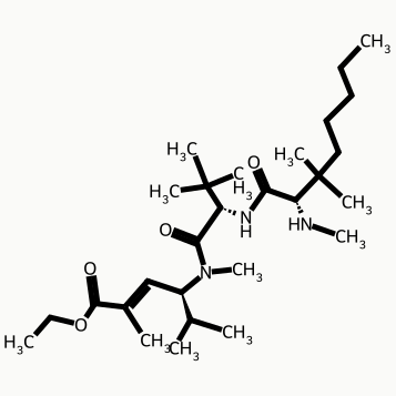 CCCCCC(C)(C)[C@H](NC)C(=O)N[C@H](C(=O)N(C)[C@H](/C=C(\C)C(=O)OCC)C(C)C)C(C)(C)C